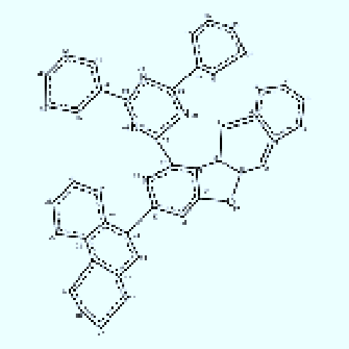 C1=c2ccccc2=CC2c3c(cc(-c4cc5ccccc5c5ccccc45)nc3-c3nc(-c4ccccc4)nc(-c4ccccc4)n3)OC12